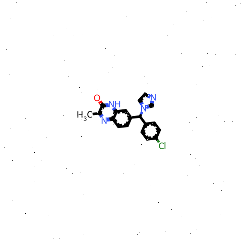 Cc1nc2ccc(C(c3ccc(Cl)cc3)n3ccnc3)cc2[nH]c1=O